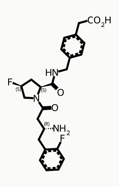 N[C@@H](CC(=O)N1C[C@@H](F)C[C@H]1C(=O)NCc1ccc(CC(=O)O)cc1)Cc1ccccc1F